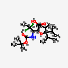 CC(C)[Si](O[C@@H](C(=O)O)[C@@H](NC(=O)OC(C)(C)C)C(C)(F)F)(C(C)C)C(C)C